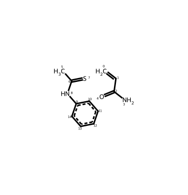 C=CC(N)=O.CC(=S)Nc1ccccc1